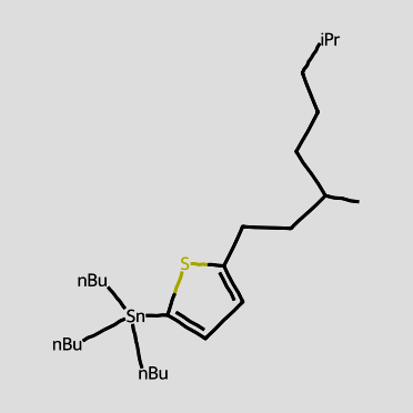 CCC[CH2][Sn]([CH2]CCC)([CH2]CCC)[c]1ccc(CCC(C)CCCC(C)C)s1